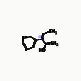 C=C(O)/C(=C\C)c1ccccc1